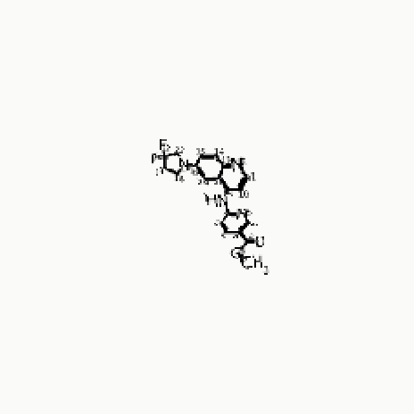 COC(=O)c1ccc(Nc2ccnc3ccc(N4CCC(F)(F)C4)cc23)nc1